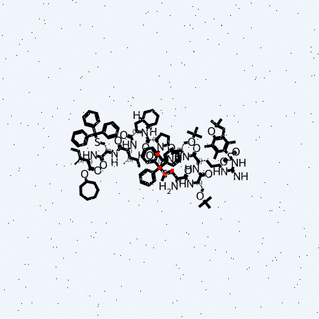 CC[C@H](C)[C@H](NC(=O)[C@@H]1C[C@@H]2CCCC[C@@H]2N1C(=O)[C@@H]1CCCN1C(O)[C@H](CC(C)C)NC(=O)[C@H](COC(C)(C)C)NC(=O)[C@H](CCCNC(=N)NS(=O)(=O)c1c(C)c(C)c2c(c1C)CC(C)(C)O2)NC(=O)[C@H](COC(C)(C)C)NC(=O)[C@@H](N)CSC(c1ccccc1)(c1ccccc1)c1ccccc1)C(=O)N[C@@H](CSC(c1ccccc1)(c1ccccc1)c1ccccc1)C(=O)N[C@H](C(=O)OC1CCCCCC1)[C@@H](C)CC